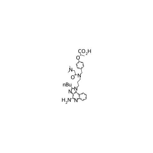 CCCCc1nc2c(N)nc3ccccc3c2n1CCCN(Cc1ccc(OC(C)C(=O)O)cc1)C(=O)CN(C)C